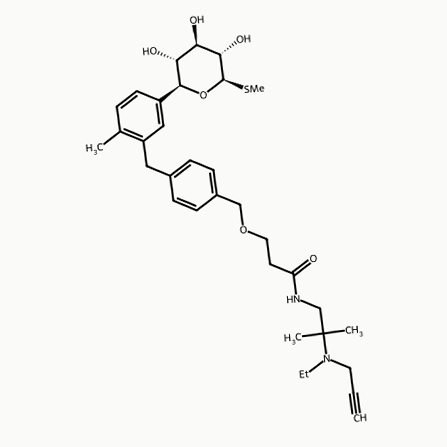 C#CCN(CC)C(C)(C)CNC(=O)CCOCc1ccc(Cc2cc([C@@H]3O[C@H](SC)[C@@H](O)[C@H](O)[C@H]3O)ccc2C)cc1